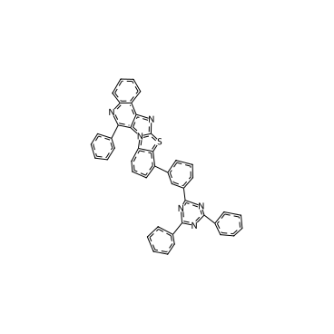 c1ccc(-c2nc(-c3ccccc3)nc(-c3cccc(-c4cccc5c4sc4nc6c7ccccc7nc(-c7ccccc7)c6n45)c3)n2)cc1